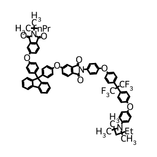 CCCC(C)(C)N1C(=O)c2ccc(Oc3ccc(C4(c5ccc(Oc6ccc7c(c6)C(=O)N(c6ccc(Oc8ccc(C(c9ccc(Oc%10ccc(N%11C(C)(C)CC%11(C)CC)cc%10)cc9)(C(F)(F)F)C(F)(F)F)cc8)cc6)C7=O)cc5)c5ccccc5-c5ccccc54)cc3)cc2C1=O